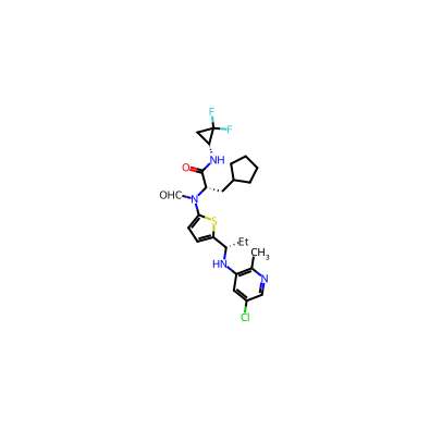 CC[C@H](Nc1cc(Cl)cnc1C)c1ccc(N(C=O)[C@@H](CC2CCCC2)C(=O)N[C@@H]2CC2(F)F)s1